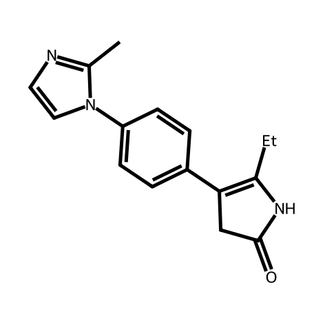 CCC1=C(c2ccc(-n3ccnc3C)cc2)CC(=O)N1